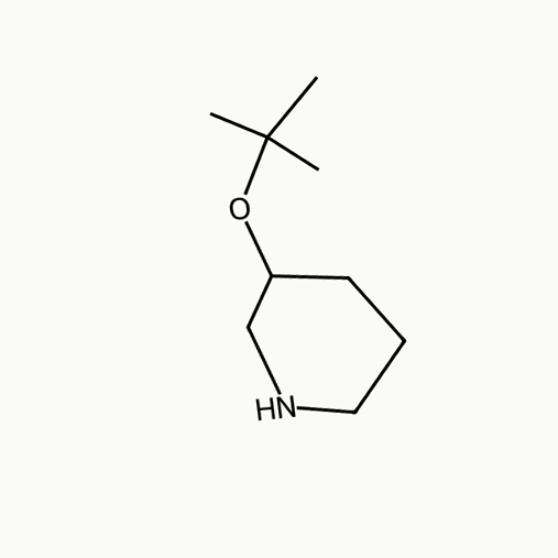 CC(C)(C)OC1CCCNC1